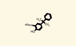 CCCCCc1cc(C(C)(C)c2ccccc2)ccc1O